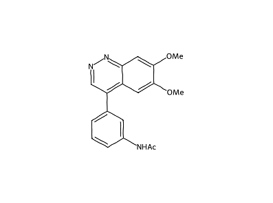 COc1cc2nncc(-c3cccc(NC(C)=O)c3)c2cc1OC